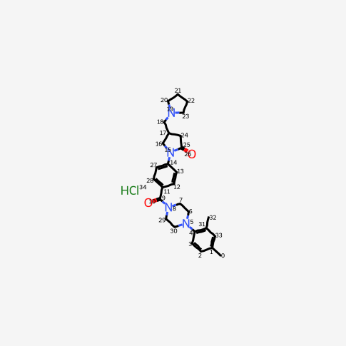 Cc1ccc(N2CCN(C(=O)c3ccc(N4CC(CN5CCCC5)CC4=O)cc3)CC2)c(C)c1.Cl